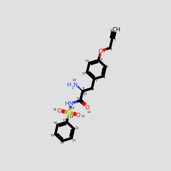 C#CCOc1ccc(C[C@H](N)C(=O)NS(=O)(=O)c2ccccc2)cc1